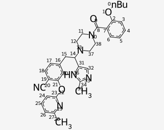 CCCCOc1ccccc1C(=O)N1CCN(C(Cc2ccc(C#N)c(Oc3cccc(C)n3)c2)c2cnc(C)[nH]2)CC1